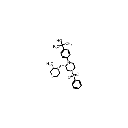 C[C@H]1COCCN1C[C@H]1CN(S(=O)(=O)c2ccccc2)CCN1c1ccc(C(C)(O)C(F)(F)F)cc1